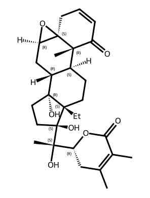 CC[C@]12CC[C@H]3[C@@H](C[C@H]4O[C@]45CC=CC(=O)[C@]35C)[C@]1(O)CC[C@@]2(O)[C@@](C)(O)[C@H]1CC(C)=C(C)C(=O)O1